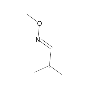 CON=C[C](C)C